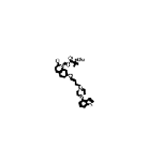 CCCCC(C)(C)C(=O)OCN1C(=O)CCc2ccc(OCCCCN3CCN(c4cccc5sccc45)CC3)cc21